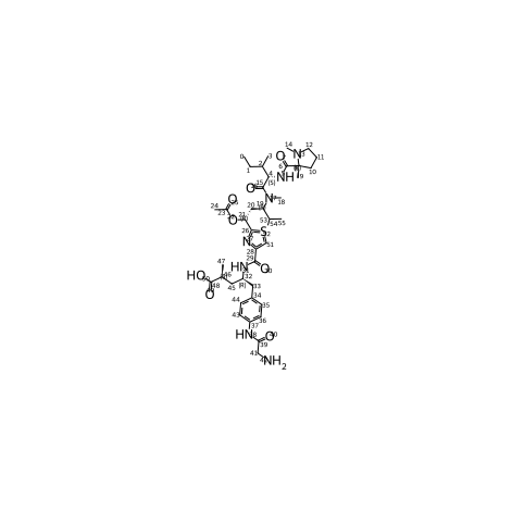 CCC(C)[C@H](NC(=O)[C@@]1(C)CCCN1C)C(=O)N(C)[C@H](C[C@@H](OC(C)=O)c1nc(C(=O)N[C@@H](Cc2ccc(NC(=O)CN)cc2)C[C@H](C)C(=O)O)cs1)C(C)C